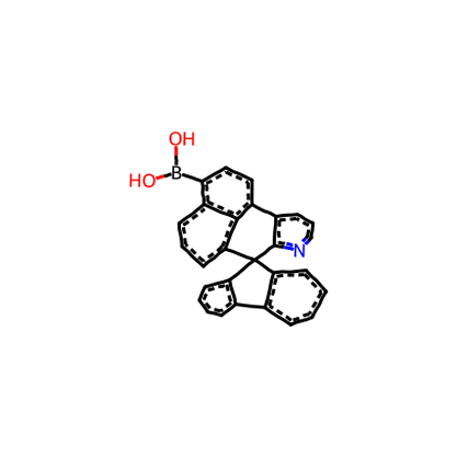 OB(O)c1ccc2c3c(cccc13)C1(c3ccccc3-c3ccccc31)c1ncccc1-2